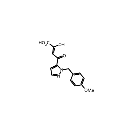 COc1ccc(Cn2nccc2C(=O)C=C(O)C(=O)O)cc1